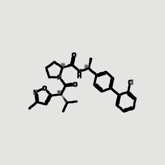 Cc1cc([C@H](C(=O)N2CCC[C@H]2C(=O)N[C@@H](C)c2ccc(-c3ccccc3Cl)cc2)C(C)C)on1